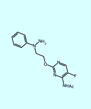 CC(=O)Nc1nc(OCCN(N)c2ccccc2)ncc1F